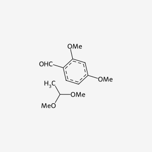 COC(C)OC.COc1ccc(C=O)c(OC)c1